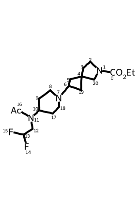 CCOC(=O)N1CCC2(CC(N3CCC(N(CC(F)F)C(C)=O)CC3)C2)C1